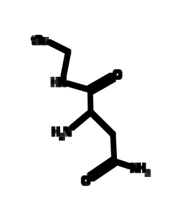 CC(C)(C)CNC(=O)C(N)CC(N)=O